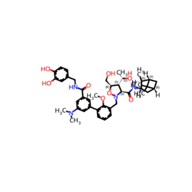 COc1c(CN2O[C@@H](CO)[C@H]([C@H](C)O)[C@H]2C(=O)N[C@H]2C[C@H]3C[C@@H]([C@@H]2C)C3(C)C)cccc1-c1cc(C(=O)NCc2ccc(O)c(O)c2)cc(N(C)C)c1